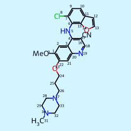 COc1cc2c(Nc3c(Cl)ccc4ccoc34)c(C#N)cnc2cc1OCCCN1CCN(C)CC1